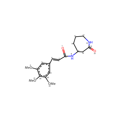 COc1cc(C=CC(=O)NC2CCCNC(=O)C2)cc(OC)c1OC